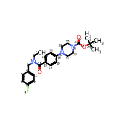 CCN(Cc1ccc(F)cc1)C(=O)c1ccc(N2CCN(C(=O)OC(C)(C)C)CC2)cc1